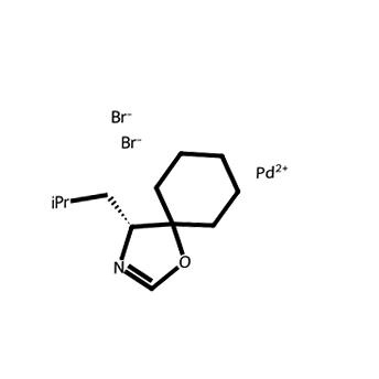 CC(C)C[C@H]1N=COC12CCCCC2.[Br-].[Br-].[Pd+2]